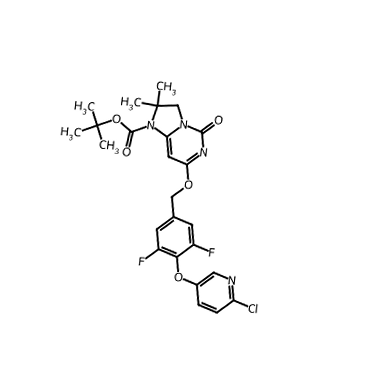 CC(C)(C)OC(=O)N1c2cc(OCc3cc(F)c(Oc4ccc(Cl)nc4)c(F)c3)nc(=O)n2CC1(C)C